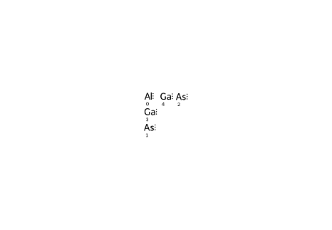 [Al].[As].[As].[Ga].[Ga]